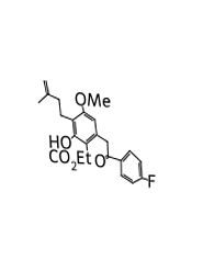 C=C(C)CCc1c(OC)cc(CC(=O)c2ccc(F)cc2)c(C(=O)OCC)c1O